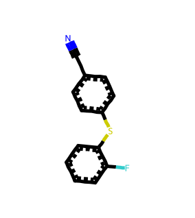 N#Cc1ccc(Sc2ccccc2F)cc1